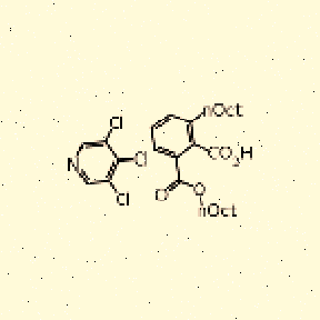 CCCCCCCCOC(=O)c1cccc(CCCCCCCC)c1C(=O)O.Clc1cncc(Cl)c1Cl